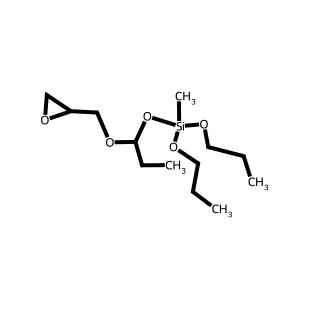 CCCO[Si](C)(OCCC)OC(CC)OCC1CO1